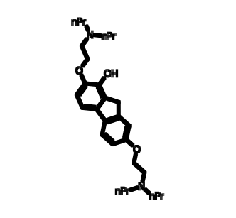 CCCN(CCC)CCOc1ccc2c(c1)Cc1c-2ccc(OCCN(CCC)CCC)c1O